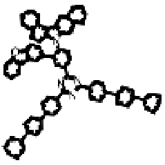 c1ccc(-c2ccc(-c3ccc(-c4nc(-c5ccc(-c6ccc(-c7ccccc7)cc6)cc5)nc(-c5ccc(-n6c7cc8ccccc8cc7c7c8ccccc8ccc76)c(-c6ccc7oc8ccccc8c7c6)c5)n4)cc3)cc2)cc1